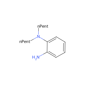 CCCCCN(CCCCC)c1ccccc1N